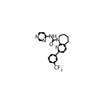 O=C(Nc1ccncn1)N1CCCCc2ccc(-c3cccc(C(F)(F)F)c3)nc21